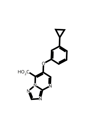 O=C(O)c1c(Oc2cccc(C3CC3)c2)cnc2ncnn12